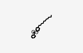 CCCCCCCCCCCc1ccc(OC(=O)c2ccccc2)cc1